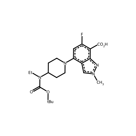 CCN(C(=O)OC(C)(C)C)C1CCN(c2cc(F)c(C(=O)O)c3nn(C)cc23)CC1